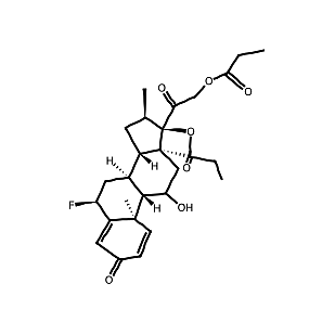 CCC(=O)OCC(=O)[C@@]1(OC(=O)CC)[C@H](C)C[C@H]2[C@@H]3C[C@H](F)C4=CC(=O)C=C[C@]4(C)[C@H]3C(O)C[C@@]21C